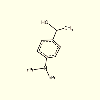 CCCN(CCC)c1ccc(C(C)O)cc1